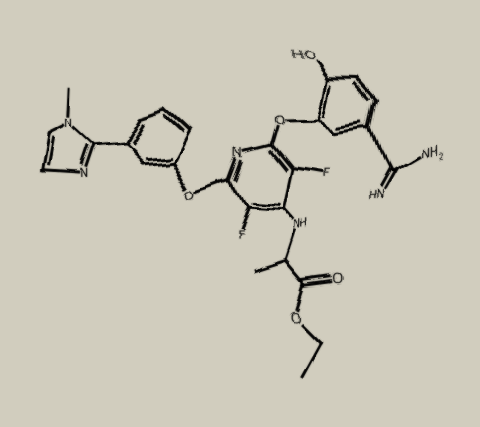 CCOC(=O)C(C)Nc1c(F)c(Oc2cccc(-c3nccn3C)c2)nc(Oc2cc(C(=N)N)ccc2O)c1F